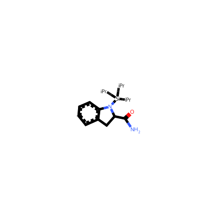 CC(C)[Si](C(C)C)(C(C)C)N1c2cc[c]cc2CC1C(N)=O